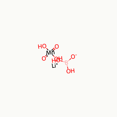 [Li+].[O-]B(O)O.[O]=[Mn](=[O])([OH])[OH]